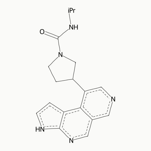 CC(C)NC(=O)N1CCC(c2cncc3cnc4[nH]ccc4c23)C1